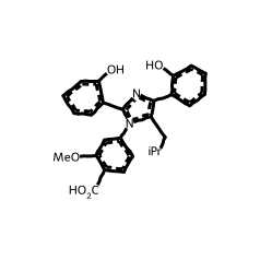 COc1cc(-n2c(-c3ccccc3O)nc(-c3ccccc3O)c2CC(C)C)ccc1C(=O)O